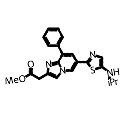 COC(=O)Cc1cn2cc(-c3ncc(NC(C)C)s3)cc(-c3ccccc3)c2n1